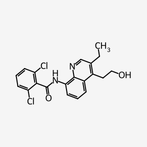 CCc1cnc2c(NC(=O)c3c(Cl)cccc3Cl)cccc2c1CCO